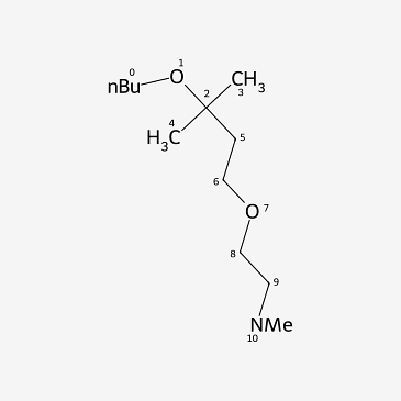 CCCCOC(C)(C)CCOCCNC